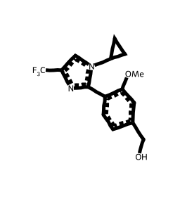 COc1cc(CO)ccc1-c1nc(C(F)(F)F)cn1C1CC1